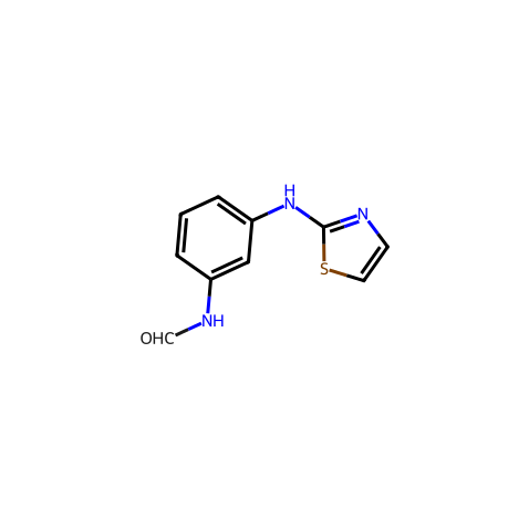 O=CNc1cccc(Nc2nccs2)c1